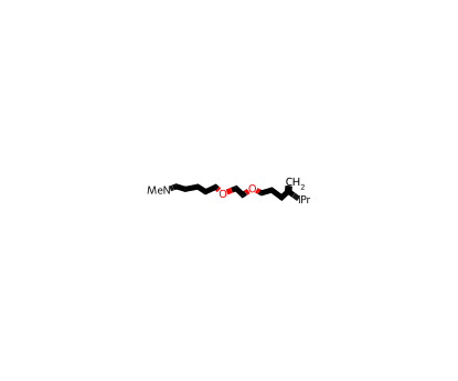 C=C(CCCOCCOCCCCCNC)C(C)C